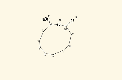 CCCCC1CCCCCCCCC(=O)O1